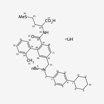 CCCCN(Cc1ccc(C2CCCCC2)cc1)Cc1ccc(C(=O)NC(CCSC)C(=O)O)c(-c2ccccc2C)c1.[LiH]